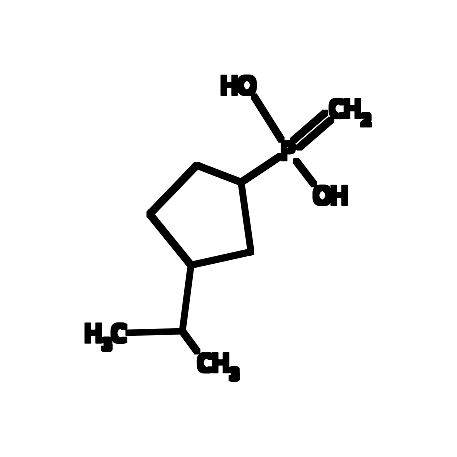 C=P(O)(O)C1CCC(C(C)C)C1